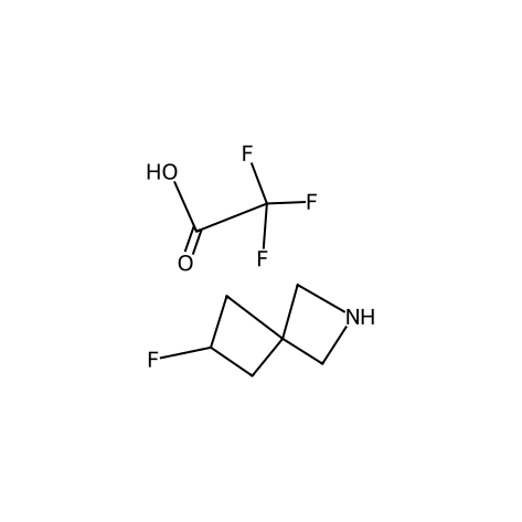 FC1CC2(CNC2)C1.O=C(O)C(F)(F)F